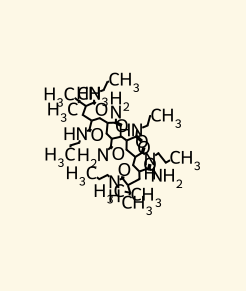 CCCNC(=O)C(CC(CC(CC(CC(C(=O)NCCC)C(C)(C)C)C(=O)NCCC)C(N)=O)C(N)=O)CC(CC(CC(C(=O)NCCC)C(C)(C)C)C(N)=O)C(=O)NCCC